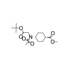 COC(=O)[C@H]1CC[C@H](N(CC(=O)OC(C)(C)C)S(C)(=O)=O)CC1